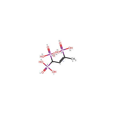 C/C(=C/C(P(=O)(O)O)P(=O)(O)O)P(=O)(O)O